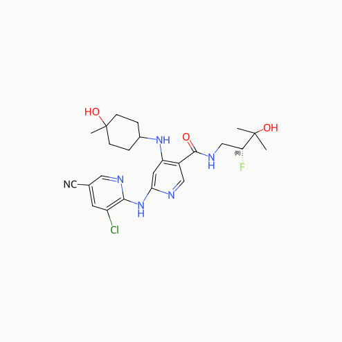 CC1(O)CCC(Nc2cc(Nc3ncc(C#N)cc3Cl)ncc2C(=O)NC[C@@H](F)C(C)(C)O)CC1